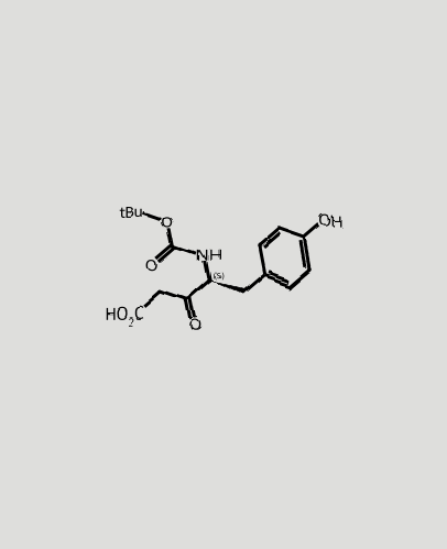 CC(C)(C)OC(=O)N[C@@H](Cc1ccc(O)cc1)C(=O)CC(=O)O